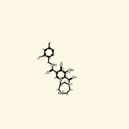 Cc1ccc(CNC(=O)c2cn3c(c(O)c2=O)C(=O)N2CCNCC3C2)c(F)c1